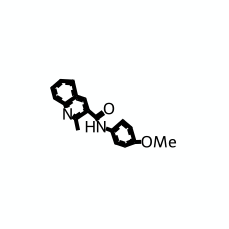 COc1ccc(NC(=O)c2cc3ccccc3nc2C)cc1